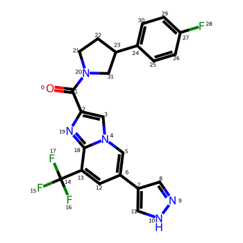 O=C(c1cn2cc(-c3cn[nH]c3)cc(C(F)(F)F)c2n1)N1CCC(c2ccc(F)cc2)C1